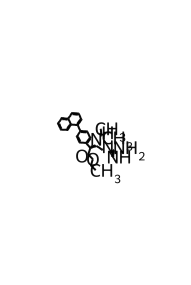 CCOC(=O)c1c(CNC(=N)N)n(C(C)C)c2cc(-c3cccc4ccccc34)ccc12